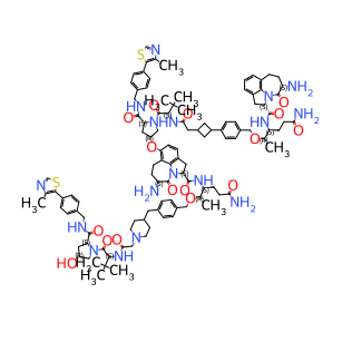 Cc1ncsc1-c1ccc(CNC(=O)[C@@H]2C[C@@H](O)CN2C(=O)[C@@H](NC(=O)CN2CCC(Cc3ccc(CO[C@H](C)[C@H](CCC(N)=O)NC(=O)[C@@H]4Cc5ccc(O[C@@H]6C[C@@H](C(=O)NCc7ccc(-c8scnc8C)cc7)N(C(=O)[C@@H](NC(=O)CC7CC(c8ccc(CO[C@H](C)[C@H](CCC(N)=O)NC(=O)[C@@H]9Cc%10cccc%11c%10N9C(=O)[C@@H](N)CC%11)cc8)C7)C(C)(C)C)C6)c6c5N4C(=O)[C@@H](N)CC6)cc3)CC2)C(C)(C)C)cc1